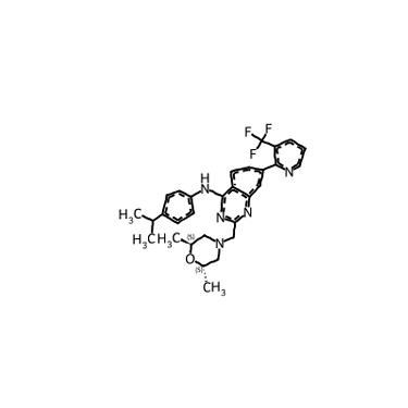 CC(C)c1ccc(Nc2nc(CN3C[C@H](C)O[C@@H](C)C3)nc3cc(-c4ncccc4C(F)(F)F)ccc23)cc1